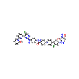 O=C1CCC(Nc2ccc(C3CCN([C@H]4CC[C@H](C(=O)NC5CCC(Nc6ncc(F)c(-c7cccc(-n8ccccc8=O)n7)n6)CC5)CC4)CC3)c(F)c2)C(=O)N1